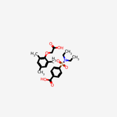 CCN(CC)S(=O)(=O)c1ccc(C(=O)O)cc1.Cc1cc(C)c(OCC(=O)O)c(C)c1